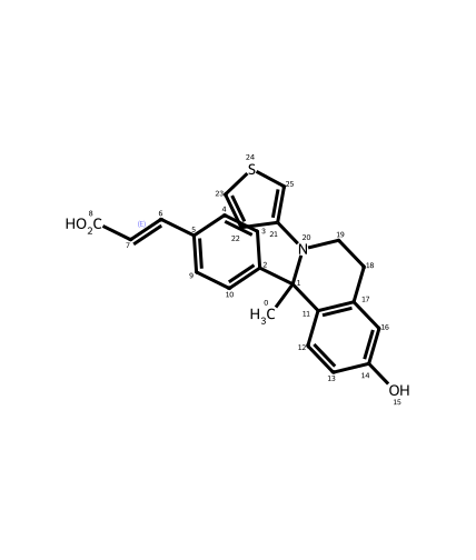 CC1(c2ccc(/C=C/C(=O)O)cc2)c2ccc(O)cc2CCN1c1ccsc1